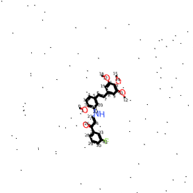 COc1ccc(C=Cc2cc(OC)c(OC)c(OC)c2)cc1NC=CC(=O)c1cccc(F)c1